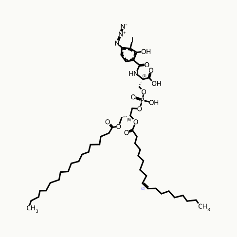 CCCCCCCC/C=C\CCCCCCCC(=O)O[C@H](COC(=O)CCCCCCCCCCCCCCCCC)COP(=O)(O)OC[C@H](NC(=O)c1ccc(N=[N+]=[N-])c(I)c1O)C(=O)O